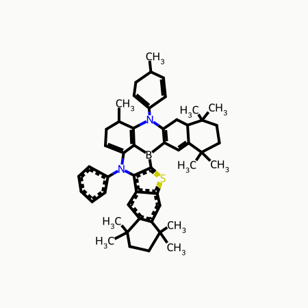 CC1C=CC(N2C3=C(C=C4C(C3)C(C)(C)CCC4(C)C)B3C4=C2C(C)CC=C4N(c2ccccc2)c2c3sc3cc4c(cc23)C(C)(C)CCC4(C)C)=CC1